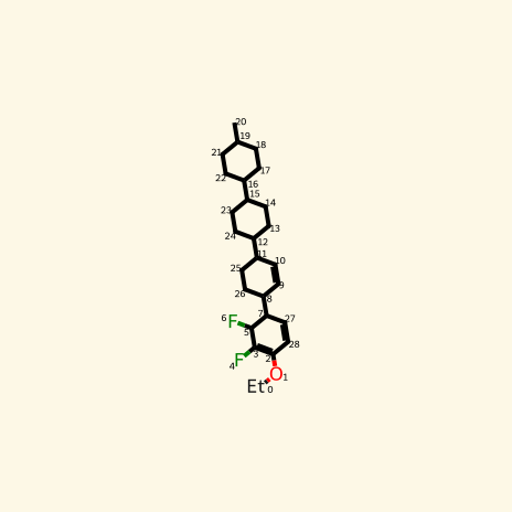 CCOC1=C(F)C(F)C(C2C=CC(C3CCC(C4CCC(C)CC4)CC3)CC2)C=C1